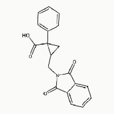 O=C1c2ccccc2C(=O)N1CC1CC1(C(=O)O)c1ccccc1